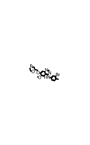 COc1cc2c(Nc3ccc(C)c(Br)c3)ncnc2cc1OCC1CN(C)CCO1